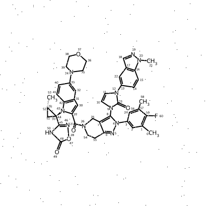 Cc1cc(-n2nc3c(c2-n2ccn(-c4ccc5c(cnn5C)c4)c2=O)CN(C(=O)c2cc4cc(N5CCOCC5)ccc4n2[C@@]2(c4noc(=O)[nH]4)C[C@@H]2C)CC3)cc(C)c1F